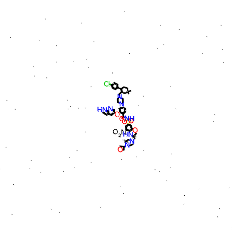 C[C@@H]1CN(C[C@@H]2COc3cc(S(=O)(=O)NC(=O)c4ccc(N5CCN(CC6=C(c7ccc(Cl)cc7)CCC(C)(C)C6)CC5)cc4Oc4cnc5[nH]ccc5c4)cc([N+](=O)[O-])c3N2)CCN1C1COC1